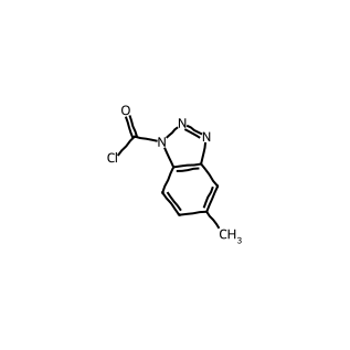 Cc1ccc2c(c1)nnn2C(=O)Cl